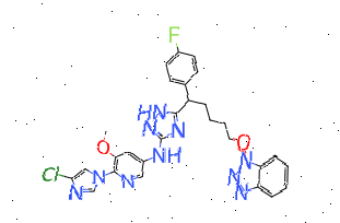 COc1cc(Nc2n[nH]c(C(CCCCOn3nnc4ccccc43)c3ccc(F)cc3)n2)cnc1-n1cnc(Cl)c1